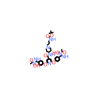 CC(=O)N(O)C(=N)c1ccc(Oc2cc(C(=O)NC3CCN(CCCNC(=O)OC(C)(C)C)CC3)cc(Oc3ccc(C(=N)N(O)C(C)=O)cc3)n2)cc1